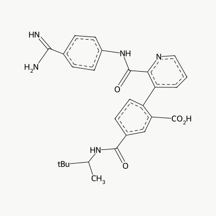 CC(NC(=O)c1ccc(-c2cccnc2C(=O)Nc2ccc(C(=N)N)cc2)c(C(=O)O)c1)C(C)(C)C